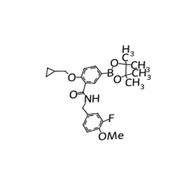 COc1ccc(CNC(=O)c2cc(B3OC(C)(C)C(C)(C)O3)ccc2OCC2CC2)cc1F